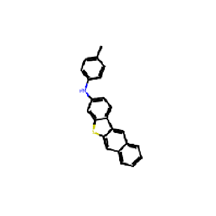 Cc1ccc(Nc2ccc3c(c2)sc2cc4ccccc4cc23)cc1